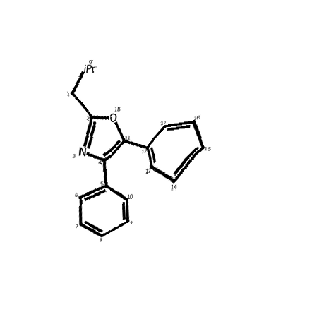 CC(C)Cc1nc(-c2ccccc2)c(-c2ccccc2)o1